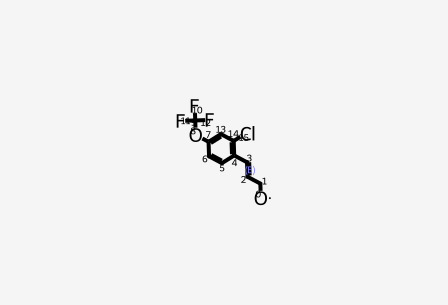 [O]C/C=C/c1ccc(OC(F)(F)F)cc1Cl